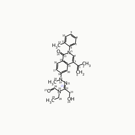 C=C(C)c1cn(-c2ccccc2C)c(=O)c2ccc(N(C)/N=C(/CO)N(C=O)CC)cc12